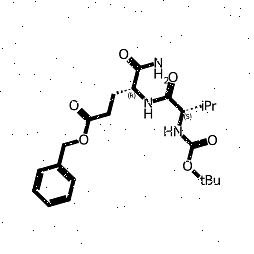 CC(C)[C@H](NC(=O)OC(C)(C)C)C(=O)N[C@H](CCC(=O)OCc1ccccc1)C(N)=O